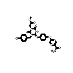 COC(=O)Cn1c(=O)[nH]/c(=N\c2ccc(Oc3cnc(C(N)=O)cn3)cc2)n(Cc2ccc(Cl)cc2)c1=O